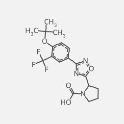 CC(C)(C)Oc1ccc(-c2noc(C3CCCN3C(=O)O)n2)cc1C(F)(F)F